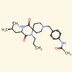 CCCN1C(=O)C(CC(C)C)NC(=O)C12CCN(Cc1ccc(NC(C)=O)cc1)CC2